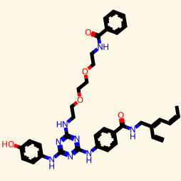 C=C/C(=C\C=C/C)CNC(=O)c1ccc(Nc2nc(NCCOCCOCCNC(=O)c3ccccc3)nc(Nc3ccc(O)cc3)n2)cc1